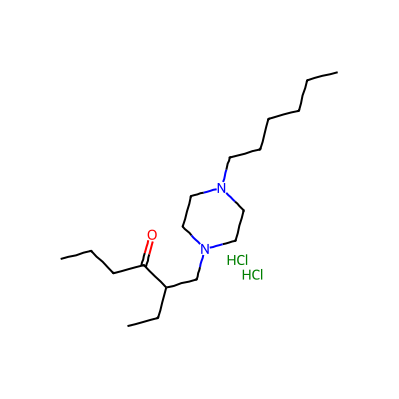 CCCCCCN1CCN(CC(CC)C(=O)CCC)CC1.Cl.Cl